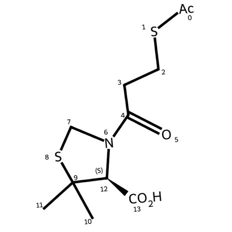 CC(=O)SCCC(=O)N1CSC(C)(C)[C@@H]1C(=O)O